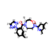 Cc1cc(C)nc(N2CCN(C(=O)c3cc(C)ccc3-n3nccn3)[C@H](C)CO2)c1